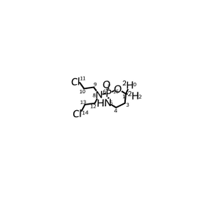 [2H]C1([2H])CCNP(=O)(N(CCCl)CCCl)O1